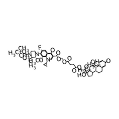 COc1c(N2CCN(C(=O)OC(C)(C)C)C(C)C2)c(F)cc2c(=O)c(C(=O)OCOC(=O)CCC(=O)OCC(=O)[C@@]3(O)CCC4C5CCC6=CC(=O)C=C[C@]6(C)C5[C@@H](O)C[C@@]43C)cn(C3CC3)c12